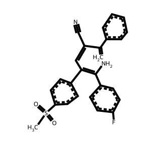 C=C(/C(C#N)=C\C(=C(/N)c1ccc(F)cc1)c1ccc(S(C)(=O)=O)cc1)c1ccccc1